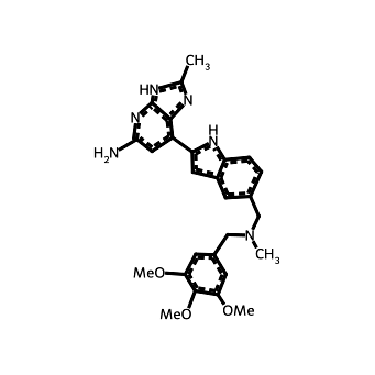 COc1cc(CN(C)Cc2ccc3[nH]c(-c4cc(N)nc5[nH]c(C)nc45)cc3c2)cc(OC)c1OC